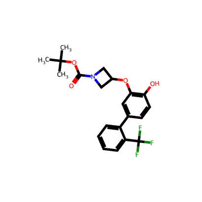 CC(C)(C)OC(=O)N1CC(Oc2cc(-c3ccccc3C(F)(F)F)ccc2O)C1